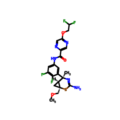 COC[C@]12C[C@H]1[C@@](C)(c1cc(NC(=O)c3cnc(OCC(F)F)cn3)cc(F)c1F)N=C(N)S2